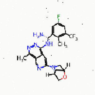 Cc1c([C@@H](N)Nc2nnc(C)c3cnc(N4C[C@H]5C[C@@H]4CO5)cc23)cc(F)cc1C(F)(F)F